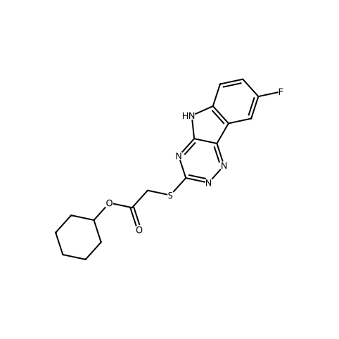 O=C(CSc1nnc2c(n1)[nH]c1ccc(F)cc12)OC1CCCCC1